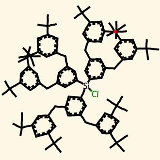 CC(C)(C)c1cc(Cc2cc(Cc3cc(C(C)(C)C)cc(C(C)(C)C)c3)cc([Si](Cl)(c3cc(Cc4cc(C(C)(C)C)cc(C(C)(C)C)c4)cc(Cc4cc(C(C)(C)C)cc(C(C)(C)C)c4)c3)c3cc(Cc4cc(C(C)(C)C)cc(C(C)(C)C)c4)cc(Cc4cc(C(C)(C)C)cc(C(C)(C)C)c4)c3)c2)cc(C(C)(C)C)c1